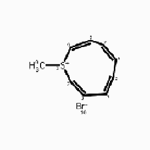 C[s+]1cccccccc1.[Br-]